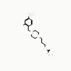 NC(=O)OCCCN1CCN(Cc2ccc(N)cc2C(F)(F)F)CC1